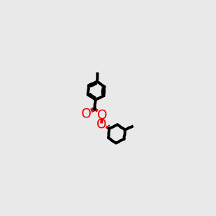 Cc1ccc(C(=O)OO[C]2CCCC(C)C2)cc1